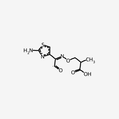 CC(CON=C([C]=O)c1csc(N)n1)C(=O)O